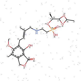 COc1c(C)c2c(c(O)c1C/C=C(\C)CNCCP(=O)(O)O[C@@H](C)C1OC(C)O1)C(=O)OC2